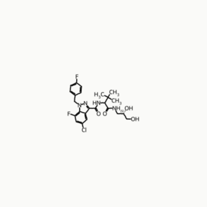 CC(C)(C)C(NC(=O)c1nn(Cc2ccc(F)cc2)c2c(F)cc(Cl)cc12)C(=O)NC[C@H](O)CO